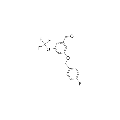 O=Cc1cc(OCc2ccc(F)cc2)cc(OC(F)(F)F)c1